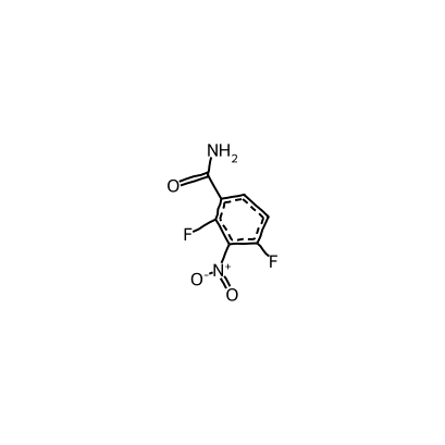 NC(=O)c1ccc(F)c([N+](=O)[O-])c1F